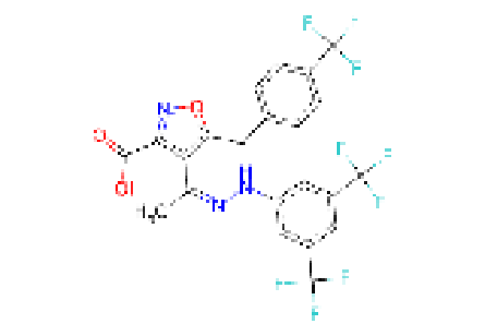 CC(=NNc1cc(C(F)(F)F)cc(C(F)(F)F)c1)c1c(C(=O)O)noc1Cc1ccc(C(F)(F)F)cc1